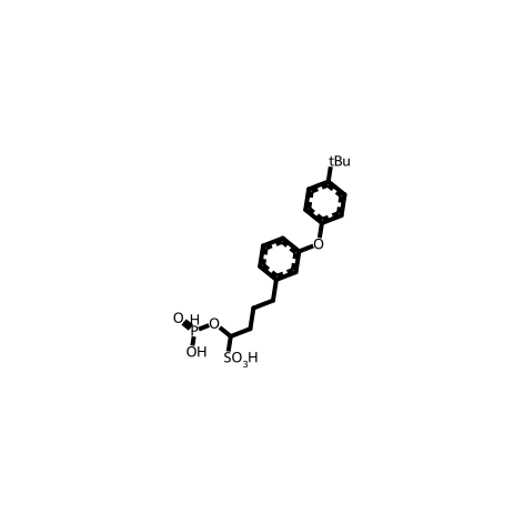 CC(C)(C)c1ccc(Oc2cccc(CCCC(O[PH](=O)O)S(=O)(=O)O)c2)cc1